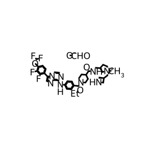 CCc1cc(Nc2nccn3c(-c4ccc(OC(F)F)c(F)c4F)cnc23)ccc1C(=O)N1CCC(C(=O)NCC2CC[N+](C)(CC3CNC3)C2)CC1.O=C[O-]